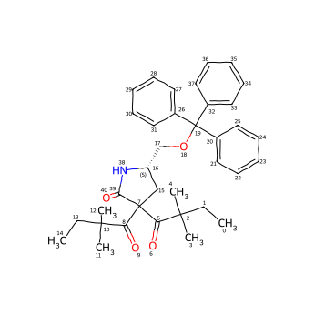 CCC(C)(C)C(=O)C1(C(=O)C(C)(C)CC)C[C@@H](COC(c2ccccc2)(c2ccccc2)c2ccccc2)NC1=O